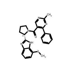 CSc1cccc2nc([C@@H]3CCCN3C(=O)c3cnc(C)nc3-c3ccccc3)[nH]c12